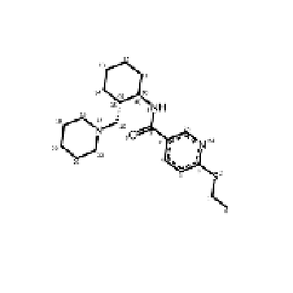 CCSc1ccc(C(=O)N[C@@H]2CCCC[C@H]2CN2CCCCC2)cn1